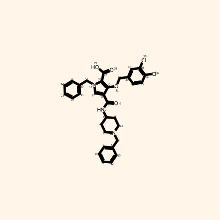 O=C(NC1CCN(Cc2ccccc2)CC1)c1cn(Cc2ccccc2)c(C(=O)O)c1OCc1ccc(Cl)c(Cl)c1